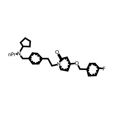 CCCN(Cc1ccc(CCn2ccc(OCc3ccc(F)cc3)cc2=O)cc1)C1CCCC1